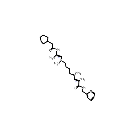 N/C(=C\N(N)CCCCN(N)/C=C(\N)NC(=O)CC1CCCCC1)C(=O)NCc1ccccn1